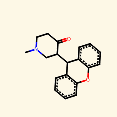 CN1CCC(=O)C(C2c3ccccc3Oc3ccccc32)C1